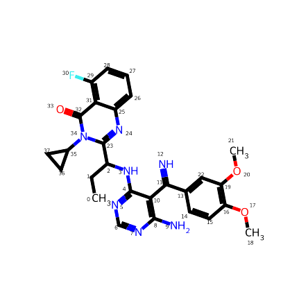 CCC(Nc1ncnc(N)c1C(=N)c1ccc(OC)c(OC)c1)c1nc2cccc(F)c2c(=O)n1C1CC1